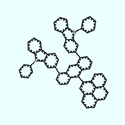 c1ccc(-n2c3ccccc3c3ccc(-c4cccc5c(-c6cc7cccc8ccc9cccc6c9c87)c6cccc(-c7ccc8c9ccccc9n(-c9ccccc9)c8c7)c6cc45)cc32)cc1